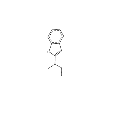 CCC(C)C1=Cc2ccccc2[C]1